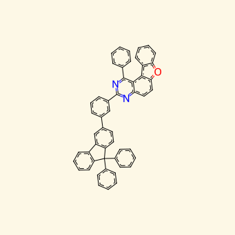 c1ccc(-c2nc(-c3cccc(-c4ccc5c(c4)-c4ccccc4C5(c4ccccc4)c4ccccc4)c3)nc3ccc4oc5ccccc5c4c23)cc1